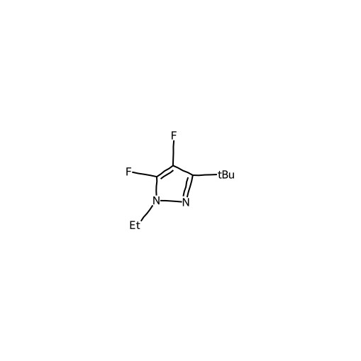 CCn1nc(C(C)(C)C)c(F)c1F